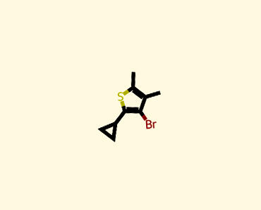 Cc1sc(C2CC2)c(Br)c1C